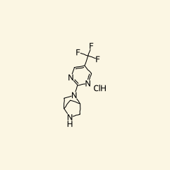 Cl.FC(F)(F)c1cnc(N2CC3CC2CN3)nc1